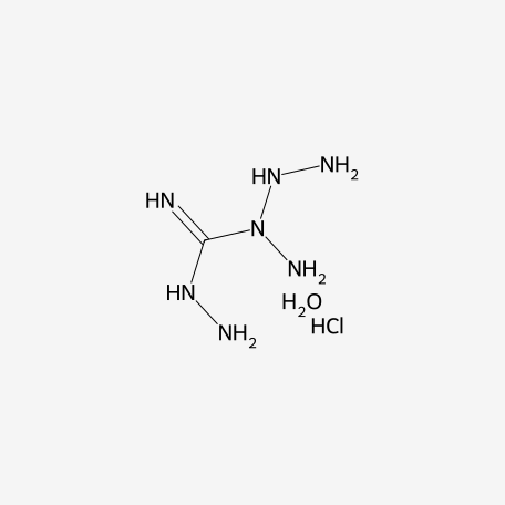 Cl.N=C(NN)N(N)NN.O